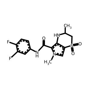 CC1CS(=O)(=O)c2cn(C)c(C(=O)Nc3ccc(F)c(F)c3)c2N1